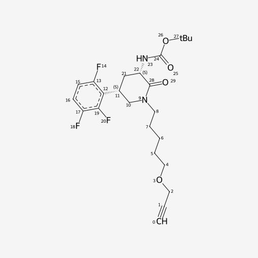 C#CCOCCCCCN1C[C@H](c2c(F)ccc(F)c2F)C[C@H](NC(=O)OC(C)(C)C)C1=O